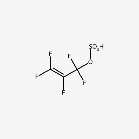 O=S(=O)(O)OC(F)(F)C(F)=C(F)F